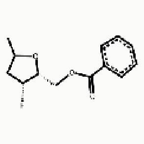 CC1C[C@@H](F)[C@@H](COC(=O)c2ccccc2)O1